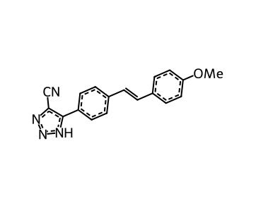 COc1ccc(/C=C/c2ccc(-c3[nH]nnc3C#N)cc2)cc1